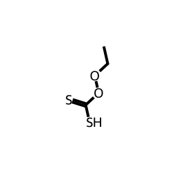 CCOOC(=S)S